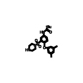 Cc1cc(C)cc(Oc2ccc(NC(=O)C(C)(C)C)cc2S(=O)(=O)N2CCNCC2)c1